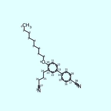 CCCCCCCCCOc1ccc(-c2ccc(C#N)cc2)cc1CCCC#N